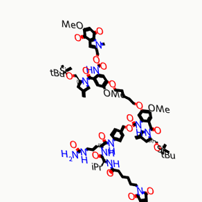 C=C1C[C@@H](CO[Si](C)(C)C(C)(C)C)N(C(=O)c2cc(OC)c(OCCCCCOc3cc(NC(=O)OCc4cc5c(n4C)C(=O)C=C(OC)C5=O)c(C(=O)N4CC(=C)C[C@H]4CO[Si](C)(C)C(C)(C)C)cc3OC)cc2NC(=O)OCc2ccc(NC(=O)[C@H](CCCNC(N)=O)NC(=O)[C@@H](NC(=O)CCCCCN3C(=O)C=CC3=O)C(C)C)cc2)C1